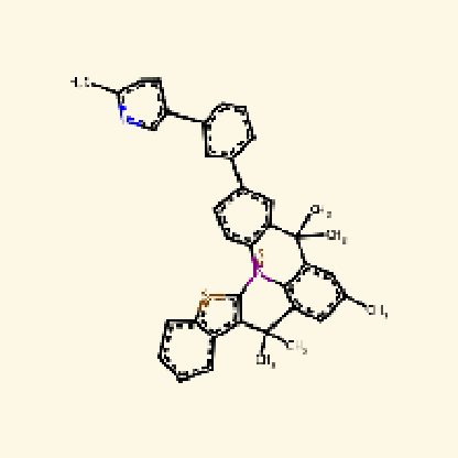 Cc1cc2c3c(c1)C(C)(C)c1c(sc4ccccc14)P3(=S)c1ccc(-c3cccc(-c4ccc(C)nc4)c3)cc1C2(C)C